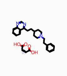 O=C(O)/C=C\C(=O)O.c1ccc(CCN2CCC(CCc3ncnc4ccccc34)CC2)cc1